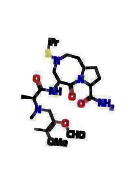 CO/C(C)=C(/CN(C)[C@@H](C)C(=O)NC1CN(SC(C)C)CCC2CCC(C(N)=O)N2C1=O)OC=O